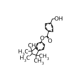 CC1C(C)(C)c2ccc(OC(=O)c3ccc(CO)cc3)cc2C1(C)C